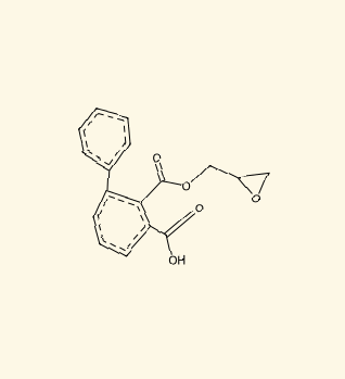 O=C(O)c1cccc(-c2ccccc2)c1C(=O)OCC1CO1